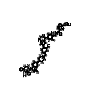 Cc1cc(-c2ncnn3cc(-c4ccc(CN5CCC(c6ccc7c(N8CCC(=O)NC8=O)nn(C)c7c6)CC5)cc4F)cc23)ccc1CNC(=O)c1noc(C(C)(C)C)n1